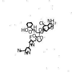 N#Cc1cc(-n2cc(F)c(N3CCO[C@H](C(O)(CNC(=O)c4ccccc4O)Cc4cc(Cl)c5c(N)noc5c4)C3=O)n2)cnn1